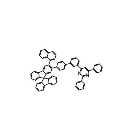 c1ccc(-c2cc(-c3cccc(-c4ccc(-c5cc6c(cc5-c5cccc7ccccc57)-c5ccccc5C65c6ccccc6-c6ccccc65)cc4)c3)nc(-c3ccccc3)n2)cc1